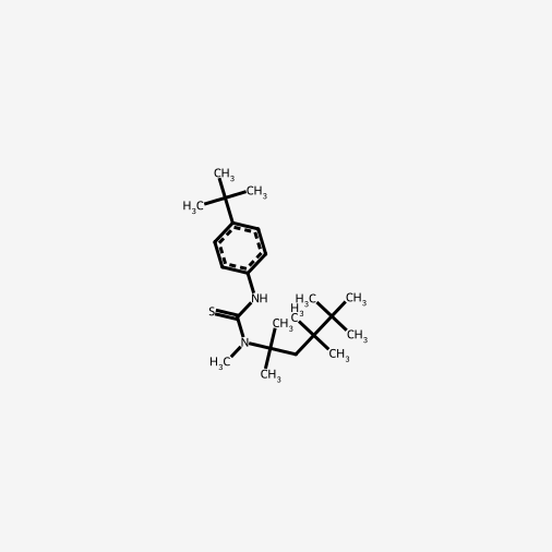 CN(C(=S)Nc1ccc(C(C)(C)C)cc1)C(C)(C)CC(C)(C)C(C)(C)C